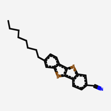 CCCCCCCCc1ccc2c(c1)sc1c3ccc(C#N)cc3sc21